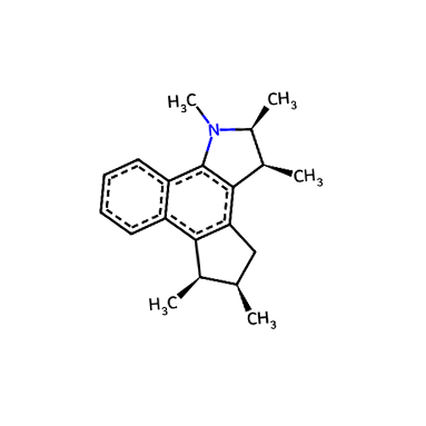 C[C@@H]1Cc2c3c(c4ccccc4c2[C@@H]1C)N(C)[C@@H](C)[C@H]3C